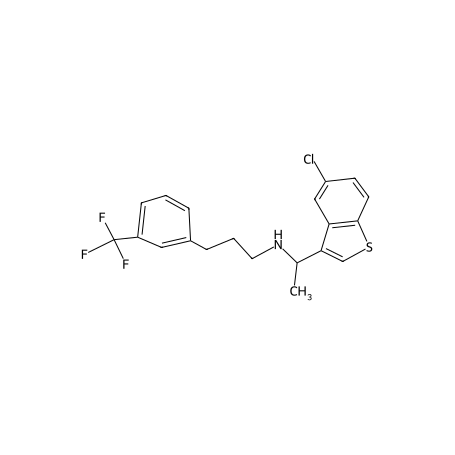 CC(NCCCc1cccc(C(F)(F)F)c1)c1csc2ccc(Cl)cc12